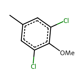 COc1c(Cl)cc(C)cc1Cl